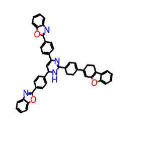 C1=C(C2=Cc3oc4ccccc4c3CC2)CCC(C2=NC(c3ccc(-c4nc5ccccc5o4)cc3)=CC(c3ccc(-c4nc5ccccc5o4)cc3)N2)=C1